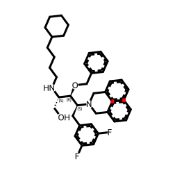 OC[C@H](NCCCCC1CCCCC1)[C@@H](OCc1ccccc1)[C@H](Cc1cc(F)cc(F)c1)N(Cc1ccccc1)Cc1ccccc1